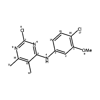 COc1cc(Nc2nc(Cl)nc(C)c2C)ccc1Cl